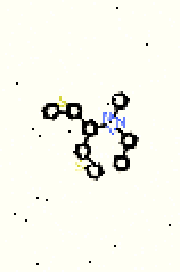 c1ccc(-c2cccc(-c3nc(-c4ccccc4)nc(-c4cc(-c5ccc6sc7ccccc7c6c5)cc(-c5ccc6sc7ccccc7c6c5)c4)n3)c2)cc1